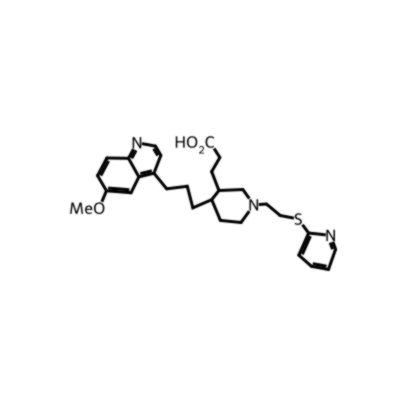 COc1ccc2nccc(CCCC3CCN(CCSc4ccccn4)CC3CCC(=O)O)c2c1